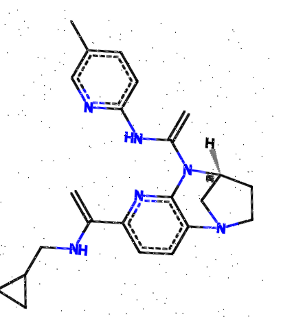 C=C(NCC1CC1)c1ccc2c(n1)N(C(=C)Nc1ccc(C)cn1)[C@H]1CCN2C1